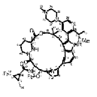 CCO[C@@H]1c2nc(cs2)-c2ccc3c(c2)c(c(-c2cc(N4CCN(C)CC4)cnc2[C@H](C)OC)n3CC)CC(C)(C)COC(=O)[C@@H]2CCCN(N2)C(=O)[C@H]1NC(=O)[C@H]1[C@H](C)[C@@H]1C(C)C